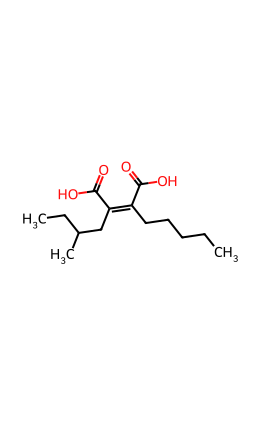 CCCCC/C(C(=O)O)=C(\CC(C)CC)C(=O)O